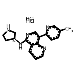 Cl.Cl.FC(F)(F)c1ccc(-c2cnc(N[C@H]3CCNC3)c3cccnc23)nc1